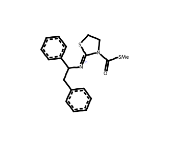 CSC(=O)N1CCS/C1=N\C(Cc1ccccc1)c1ccccc1